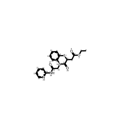 CCOC(=O)CC1Sc2ccccc2N(CC(=O)Nc2ccccn2)C1=O